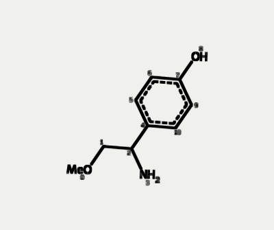 COCC(N)c1ccc(O)cc1